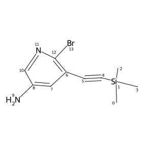 C[Si](C)(C)C#Cc1cc(N)cnc1Br